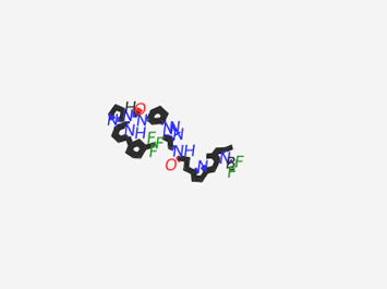 Cc1cc(C)n(B(F)F)c1/C=C1/C=CC(CCC(=O)NCc2cn(-c3cccc(NC(=O)N4c5nc(-c6cccc(C(F)(F)F)c6)ccc5N5CC[C@H]4C5)c3)nn2)=N1